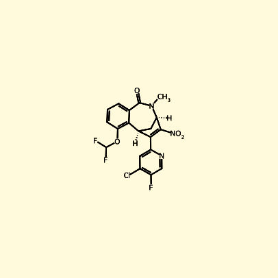 CN1C(=O)c2cccc(OC(F)F)c2[C@H]2C[C@@H]1C([N+](=O)[O-])=C2c1cc(Cl)c(F)cn1